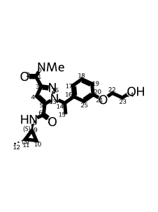 CNC(=O)c1cc(C(=O)N[C@H]2C[C@@H]2C)n(C(C)c2cccc(OCCO)c2)n1